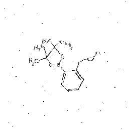 CCOCc1ccccc1B1OC(C)(C)C(C)(C)O1